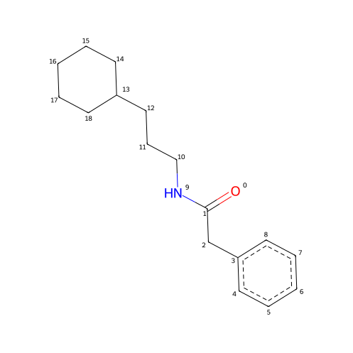 O=C(Cc1ccccc1)NCCCC1CCCCC1